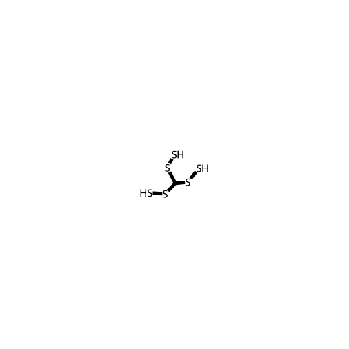 SSC(SS)SS